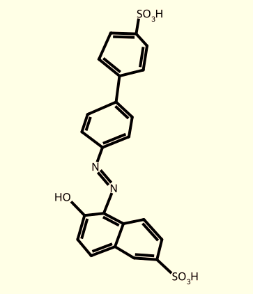 O=S(=O)(O)c1ccc(-c2ccc(/N=N/c3c(O)ccc4cc(S(=O)(=O)O)ccc34)cc2)cc1